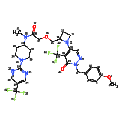 COc1ccc(Cn2ncc(N3CCC3COCC(=O)N(C)C3CCN(c4ncc(C(F)(F)F)cn4)CC3)c(C(F)(F)F)c2=O)cc1